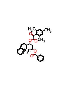 Cc1cc(C)c(C(=O)C(=O)OC(CC(OC(=O)c2ccccc2)C(F)(F)F)c2ccc3ccccc3c2)c(C)c1